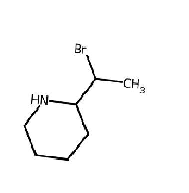 CC(Br)C1CCCCN1